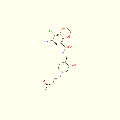 CC(=O)CCCN1CC[C@@H](CNC(=O)c2cc(N)c(Cl)c3c2OCCO3)C(O)C1